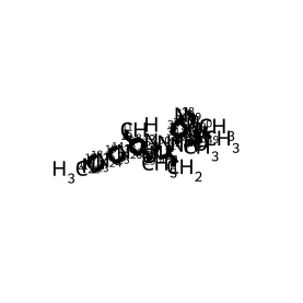 C=Cc1cnc(Nc2cc(CC)c(N3CCC(N4CCN(C)CC4)CC3)cc2OC)nc1Nc1ccc2nccnc2c1N(C)S(=O)(=O)C(C)C